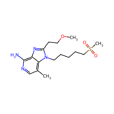 COCCc1nc2c(N)ncc(C)c2n1CCCCCS(C)(=O)=O